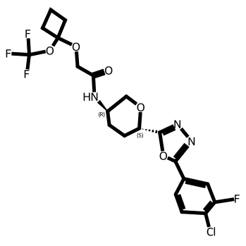 O=C(COC1(OC(F)(F)F)CCC1)N[C@@H]1CC[C@@H](c2nnc(-c3ccc(Cl)c(F)c3)o2)OC1